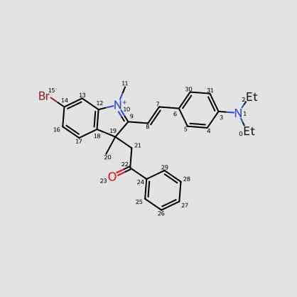 CCN(CC)c1ccc(/C=C/C2=[N+](C)c3cc(Br)ccc3C2(C)CC(=O)c2ccccc2)cc1